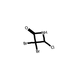 O=C1NC(Cl)C1(Br)Br